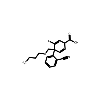 CCCCOCC1(c2ccccc2C#N)C=CC(C(=O)O)C=C1F